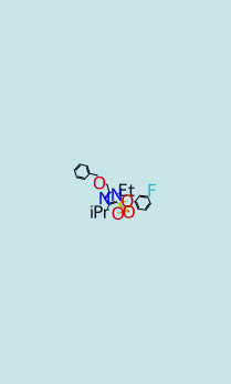 CCn1c(COCc2ccccc2)nc(C(C)C)c1S(=O)(=O)Oc1cccc(F)c1